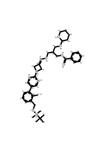 CC(C)(C)[Si](C)(C)OCc1cccc(-c2cnc(N3CC(=NOCC(COC(=O)c4ccccc4)COC4CCCCO4)C3)nc2)c1F